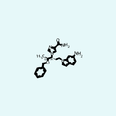 C[C@H](OCc1ccccc1)[C@@H](CCn1ccc2ccc(N)cc21)n1cnc(C(N)=O)c1